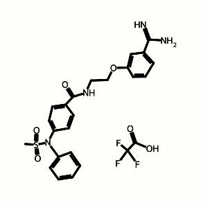 CS(=O)(=O)N(c1ccccc1)c1ccc(C(=O)NCCOc2cccc(C(=N)N)c2)cc1.O=C(O)C(F)(F)F